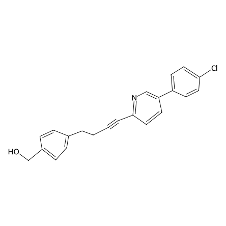 OCc1ccc(CCC#Cc2ccc(-c3ccc(Cl)cc3)cn2)cc1